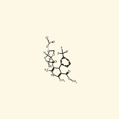 COC(=O)C1=C(C)NC(C)=C(C(=O)[C@]2(O)CO[C@@H]3[C@H](O[N+](=O)[O-])CO[C@@H]32)C1c1cccc(C(F)(F)F)c1